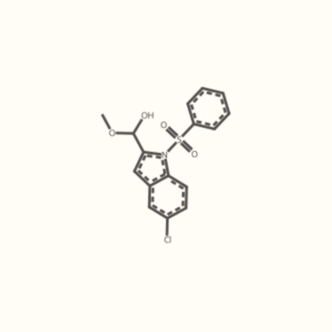 COC(O)c1cc2cc(Cl)ccc2n1S(=O)(=O)c1ccccc1